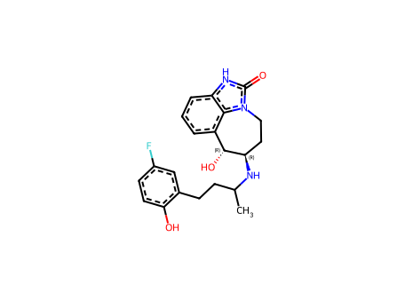 CC(CCc1cc(F)ccc1O)N[C@@H]1CCn2c(=O)[nH]c3cccc(c32)[C@H]1O